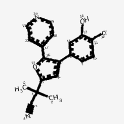 CC(C)(C#N)c1cc(-c2ccc(Cl)c(O)c2)c(-c2ccncc2)o1